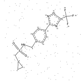 O=S(=O)(CC1CC1)NCc1ccc(-c2noc(C(F)(F)F)n2)cc1